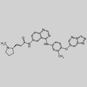 Cc1cc(Nc2ncnc3ccc(NC(=O)/C=C/[C@H]4CCCN4C)cc23)ccc1Oc1cnn2cnnc2c1